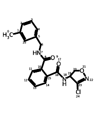 Cc1cccc(CNC(=O)c2ccccc2C(=O)NC2CON=C2Cl)c1